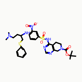 CN(C)CCC(CSc1ccccc1)Nc1ccc(S(=O)(=O)Nc2ncnc3c2CCN(C(=O)OC(C)(C)C)C3)cc1[N+](=O)[O-]